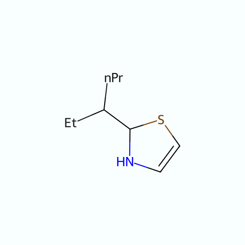 CCCC(CC)C1NC=CS1